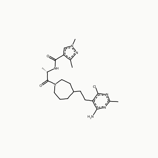 Cc1nc(N)c(CCC2CCCN(C(=O)[C@H](C)NC(=O)c3cn(C)nc3C)CC2)c(Cl)n1